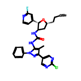 COCC[C@@H]1C[C@@H](NC(=O)Nc2c(C)c(-c3cnc(Cl)nc3)nn2-c2ccccc2)[C@H](c2ccnc(F)c2)O1